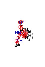 COC(=O)[C@H]1O[C@@H](Oc2ccc(COC(=O)Oc3ccc([N+](=O)[O-])cc3)cc2NC(=O)COCCOCCNC(=O)OCC2c3ccccc3-c3ccccc32)[C@H](OC(C)=O)[C@@H](OC(C)=O)[C@@H]1OC(C)=O